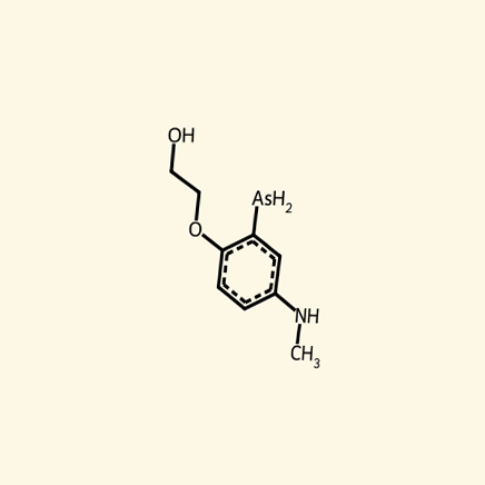 CNc1ccc(OCCO)c([AsH2])c1